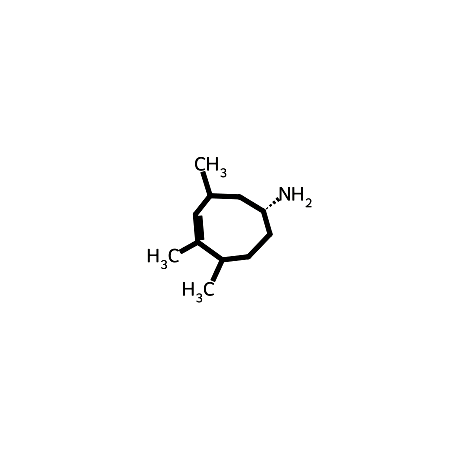 C/C1=C/C(C)C[C@H](N)CCC1C